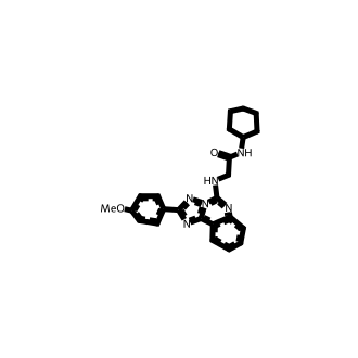 COc1ccc(-c2nc3c4ccccc4nc(NCC(=O)NC4CCCCC4)n3n2)cc1